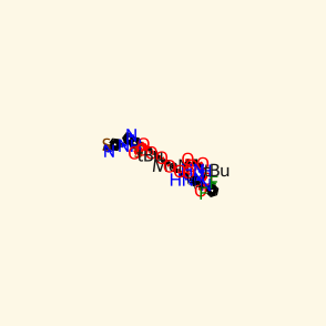 CNC(=O)OC(C)C(=O)NC(C(=O)N1C[C@@H](NC(=O)COCCOCCOCCOCCOc2cc3nccc(Nc4ccc5scnc5c4)c3cc2S(=O)(=O)C(C)(C)C)C[C@H]1C(=O)Nc1c(F)cccc1F)C(C)(C)C